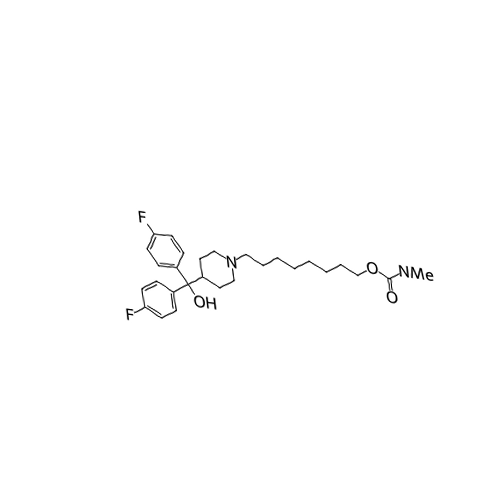 CNC(=O)OCCCCCCCCN1CCC(C(O)(c2ccc(F)cc2)c2ccc(F)cc2)CC1